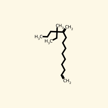 C=CCCCCCCCC(=C)C(C)(CC)CCC